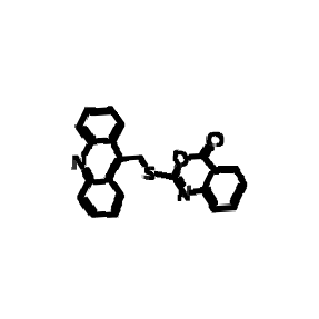 O=c1oc(SCc2c3ccccc3nc3ccccc23)nc2ccccc12